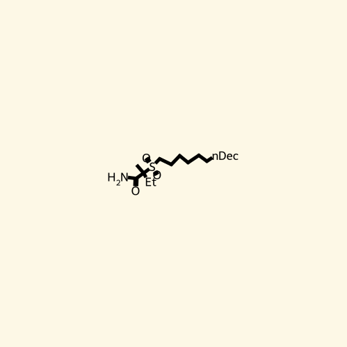 CCCCCCCCCCCCCCCCS(=O)(=O)C(C)(CC)C(N)=O